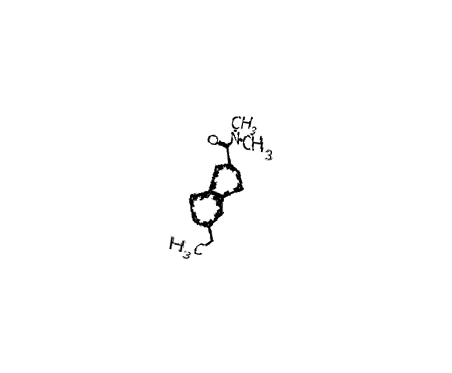 CCc1ccc2cc(C(=O)N(C)C)ccc2c1